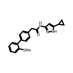 CSc1ccccc1-c1ccc(CC(=O)Nc2cc(C3CC3)[nH]n2)cc1